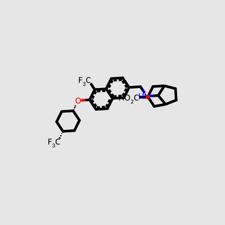 O=C(O)C1CC2CCC(C1)C2NCc1ccc2c(C(F)(F)F)c(O[C@H]3CC[C@@H](C(F)(F)F)CC3)ccc2c1